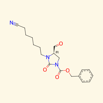 N#CCCCCCCN1C(=O)N(C(=O)OCc2ccccc2)C[C@@H]1C=O